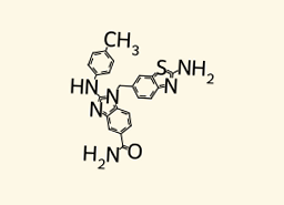 Cc1ccc(Nc2nc3cc(C(N)=O)ccc3n2Cc2ccc3nc(N)sc3c2)cc1